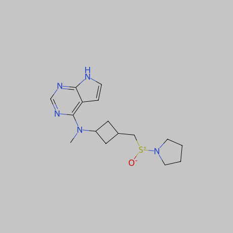 CN(c1ncnc2[nH]ccc12)C1CC(C[S+]([O-])N2CCCC2)C1